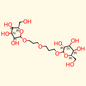 OC[C@H]1OC(OCCCOCCCOC2O[C@H](CO)[C@H](O)[C@H](O)[C@H]2O)[C@H](O)[C@@H](O)[C@H]1O